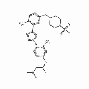 CC(CN(C)C)Oc1ccc(-n2cnc(-c3nc(NC4CCN(S(C)(=O)=O)CC4)ncc3C(F)(F)F)c2)c(C(F)(F)F)n1